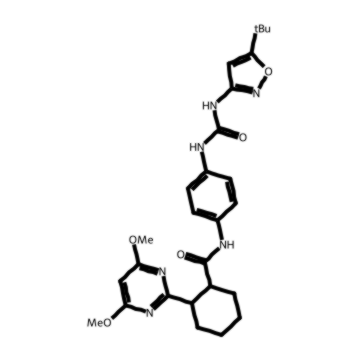 COc1cc(OC)nc(C2CCCCC2C(=O)Nc2ccc(NC(=O)Nc3cc(C(C)(C)C)on3)cc2)n1